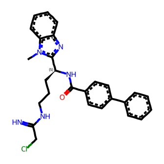 Cn1c([C@H](CCCNC(=N)CCl)NC(=O)c2ccc(-c3ccccc3)cc2)nc2ccccc21